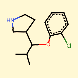 CC(C)C(Oc1ccccc1Cl)C1CCNC1